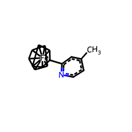 Cc1ccnc([C]23[CH]4[CH]5[CH]6[CH]2[Fe]56432789[CH]3[CH]2[CH]7[CH]8[CH]39)c1